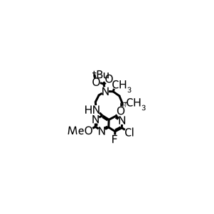 COc1nc2c3c(nc(Cl)c(F)c3n1)O[C@@H](C)CC(C)N(C(=O)OC(C)(C)C)CCN2